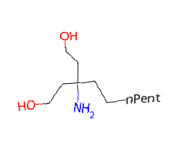 CCCCCCCC(N)(CCO)CCO